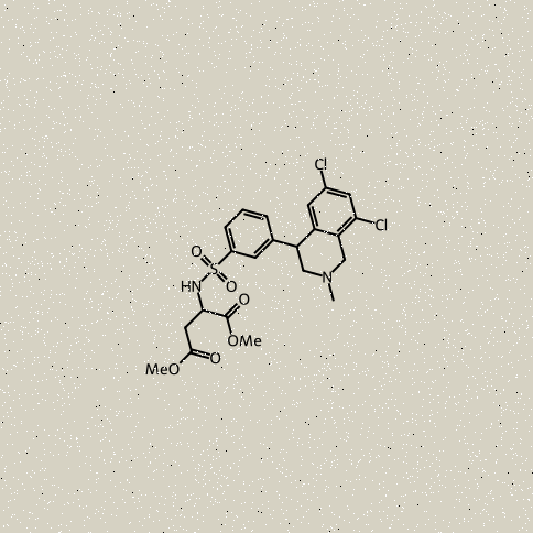 COC(=O)CC(NS(=O)(=O)c1cccc(C2CN(C)Cc3c(Cl)cc(Cl)cc32)c1)C(=O)OC